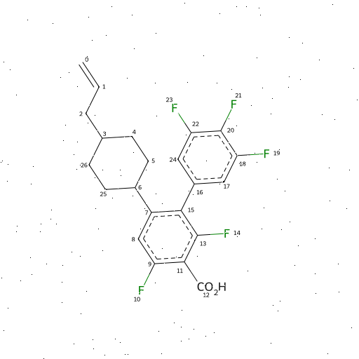 C=CCC1CCC(c2cc(F)c(C(=O)O)c(F)c2-c2cc(F)c(F)c(F)c2)CC1